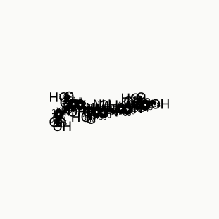 Nc1c(N=Nc2ccc3cc(S(=O)(=O)O)c(N=Nc4cccc(S(=O)(=O)O)c4)c(O)c3c2)c(S(=O)(=O)O)cc2ccc(N=Nc3ccc4c(O)c(N=Nc5ccc(CO)cc5S(=O)(=O)O)ccc4c3)c(O)c12